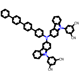 N#Cc1cc(C#N)cc(-n2c3ccccc3c3cc(N(c4ccc(-c5ccc(-c6ccc(-c7ccccc7)cc6)cc5)cc4)c4ccc5c(c4)c4ccccc4n5-c4cc(C#N)cc(C#N)c4)ccc32)c1